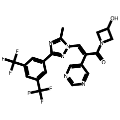 Cc1nc(-c2cc(C(F)(F)F)cc(C(F)(F)F)c2)nn1/C=C(/C(=O)N1CC(O)C1)c1cncnc1